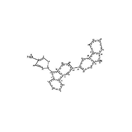 OC1=CCC(n2c3ccccc3c3cc(-c4ccc5[nH]c6ccccc6c5c4)ccc32)C=C1